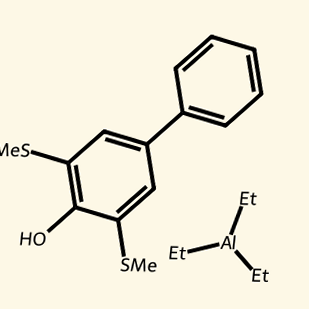 CSc1cc(-c2ccccc2)cc(SC)c1O.C[CH2][Al]([CH2]C)[CH2]C